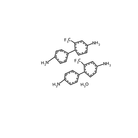 Nc1ccc(-c2ccc(N)cc2C(F)(F)F)cc1.Nc1ccc(-c2ccc(N)cc2C(F)(F)F)cc1.O